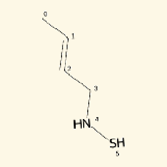 CC=CCNS